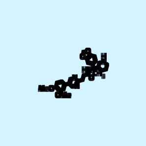 COc1ccc(-c2cnc(CCC(=O)NC(C)(c3ccc4c(c3)OCO4)C3CCCNC3)nc2)cc1OC